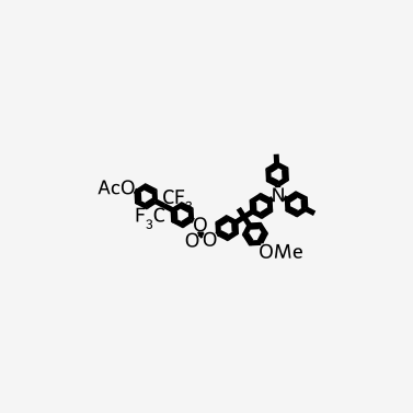 COc1ccc(C(C)(c2ccc(OC(=O)Oc3ccc(C(c4ccc(OC(C)=O)cc4)(C(F)(F)F)C(F)(F)F)cc3)cc2)c2ccc(N(c3ccc(C)cc3)c3ccc(C)cc3)cc2)cc1